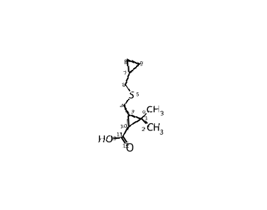 CC1(C)C(CSCC2CC2)C1C(=O)O